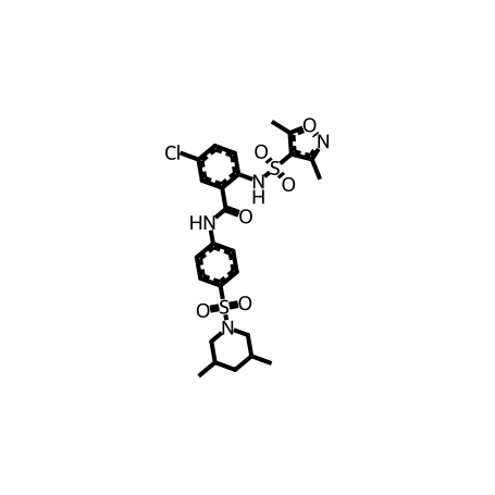 Cc1noc(C)c1S(=O)(=O)Nc1ccc(Cl)cc1C(=O)Nc1ccc(S(=O)(=O)N2CC(C)CC(C)C2)cc1